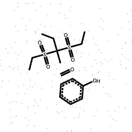 C=O.CCC(C)(S(=O)(=O)CC)S(=O)(=O)CC.Oc1ccccc1